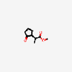 COC(=O)C(C)C1CCCC1=O